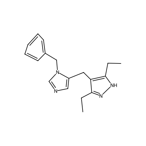 CCc1n[nH]c(CC)c1Cc1cncn1Cc1ccccc1